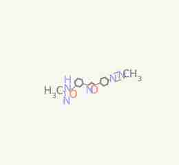 CC(C#N)NC(=O)c1cccc(-c2cc(-c3ccc(N4CCN(C)CC4)cc3)on2)c1